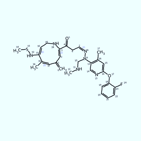 C=C1/C=C(/C(=O)C/C=N\N(CNC)c2cnc(Oc3ccccc3F)cc2C)NC/C=C(NSC)\C(C)=C/1